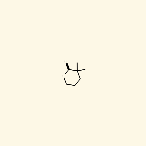 CC1(C)CCCNC1=N